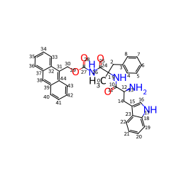 CC(Cc1ccccc1)(NC(=O)[C@@H](N)Cc1c[nH]c2ccccc12)C(=O)NC(=O)OCc1c2ccccc2cc2ccccc12